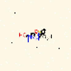 CC1(C)CCc2c(sc(NC(=O)c3ccc(NCCO)nc3)c2C(=O)O)C1